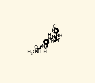 CNC(=O)CCN1NCc2cc(Nc3ncc(F)c(Nc4ccc(Cl)nc4)n3)ccc21